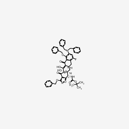 CC(C)(C)OC(=O)N[C@@H]1c2onc(OCc3ccccc3)c2C(=O)[C@@]2(O)C(O)=C3C(=O)c4c(c(F)cc(N(Cc5ccccc5)Cc5ccccc5)c4OCc4ccccc4)C[C@H]3C[C@@H]12